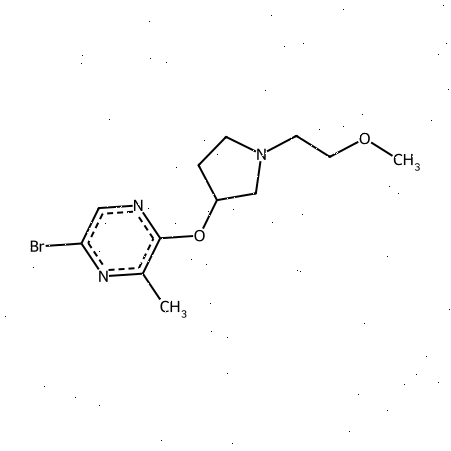 COCCN1CCC(Oc2ncc(Br)nc2C)C1